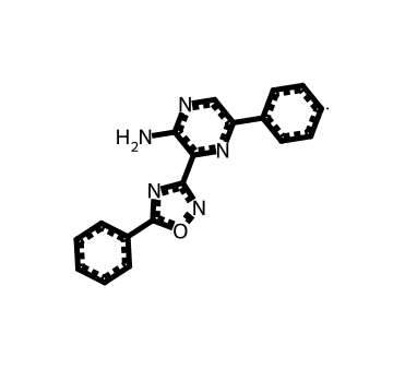 Nc1ncc(-c2cc[c]cc2)nc1-c1noc(-c2ccccc2)n1